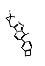 Fc1c(-c2ccc3c(c2)CC3)ccn2c(CC3CC3(F)F)nnc12